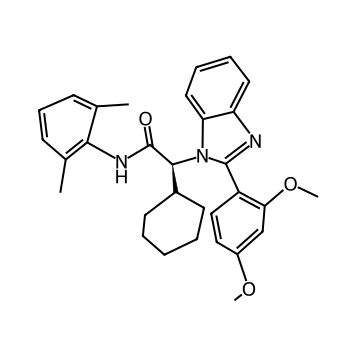 COc1ccc(-c2nc3ccccc3n2[C@H](C(=O)Nc2c(C)cccc2C)C2CCCCC2)c(OC)c1